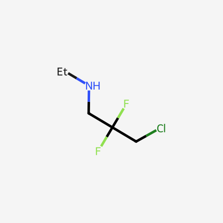 CCNCC(F)(F)CCl